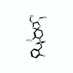 O=C(O)C1=CC2(CC[C@H]1S(=O)(=O)Cc1ccccc1Cl)O[C@@H](CO)[C@H](CO)O2